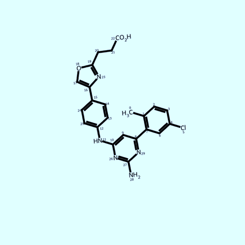 Cc1ccc(Cl)cc1-c1cc(Nc2ccc(-c3coc(CCC(=O)O)n3)cc2)nc(N)n1